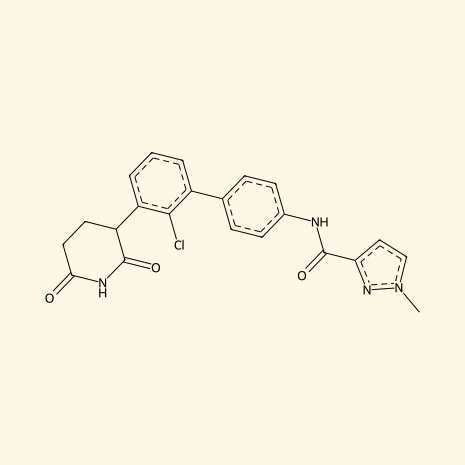 Cn1ccc(C(=O)Nc2ccc(-c3cccc(C4CCC(=O)NC4=O)c3Cl)cc2)n1